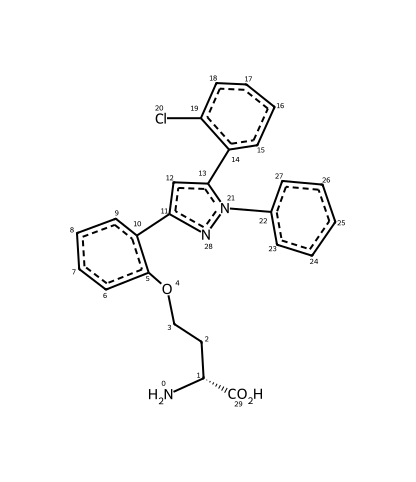 N[C@H](CCOc1ccccc1-c1cc(-c2ccccc2Cl)n(-c2ccccc2)n1)C(=O)O